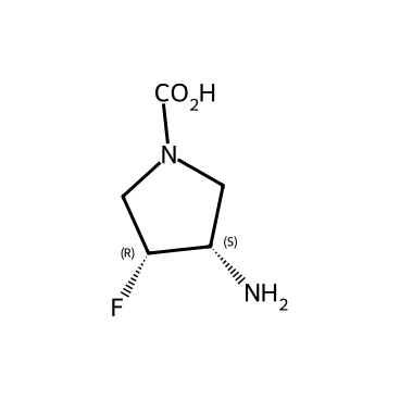 N[C@H]1CN(C(=O)O)C[C@H]1F